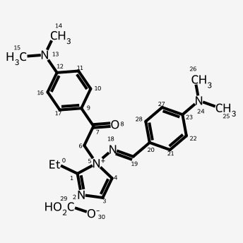 CCC1=NC=C[N+]1(CC(=O)c1ccc(N(C)C)cc1)N=Cc1ccc(N(C)C)cc1.O=C([O-])O